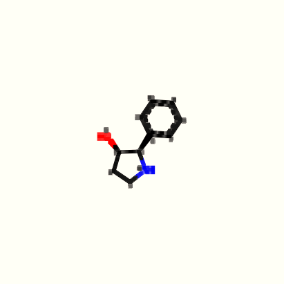 O[C@@H]1CCN[C@@H]1c1ccccc1